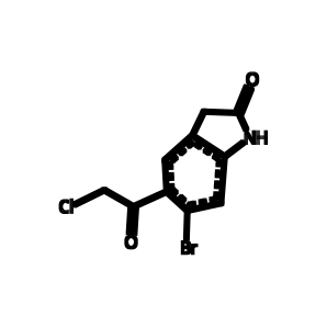 O=C1Cc2cc(C(=O)CCl)c(Br)cc2N1